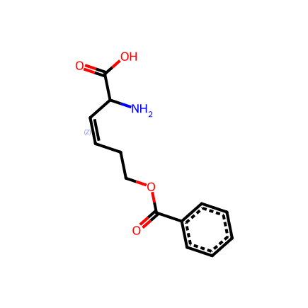 NC(/C=C\CCOC(=O)c1ccccc1)C(=O)O